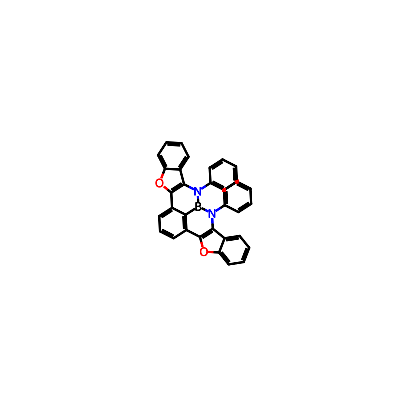 c1ccc(N2B3c4c(cccc4-c4oc5ccccc5c4N3c3ccccc3)-c3oc4ccccc4c32)cc1